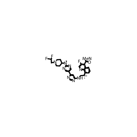 CNC(=O)c1c(F)cnc2c([C@H](C)CNc3cc(-c4cnc(N(C)C5CCN(CC(F)F)CC5)nc4)ncn3)cccc12